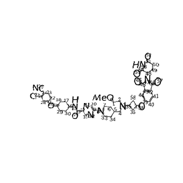 COCCN(CC1CCN(c2cnc(C(=O)NC3CCC(Oc4ccc(C#N)c(Cl)c4)CC3)cn2)CC1)C1CC(Oc2ccc3c(c2)C(=O)N([C@@H]2CCC(=O)NC2=O)C3=O)C1